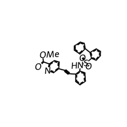 COC(=O)c1ccc(C#Cc2ccccc2NS(=O)(=O)c2ccccc2-c2ccccc2)cn1